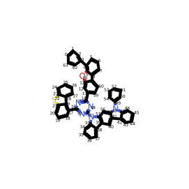 c1ccc(-c2cccc3c2oc2cc(-c4nc(-c5cccc6sc7ccccc7c56)nc(-n5c6ccccc6c6cc7c8ccccc8n(-c8ccccc8)c7cc65)n4)ccc23)cc1